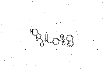 O=C(NCc1ccc(S(=O)(=O)c2cccc3ccsc23)cc1)c1cc2ccncc2s1